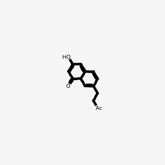 CC(=O)CCC1=CC2C(=O)C=C(O)C=C2C=C1